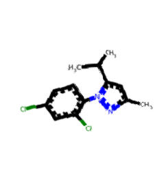 Cc1cc(C(C)C)n(-c2ccc(Cl)cc2Cl)n1